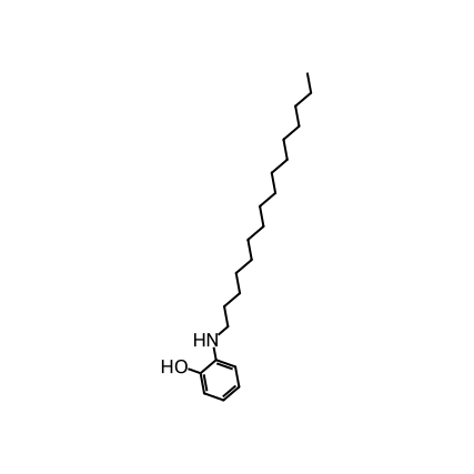 CCCCCCCCCCCCCCCCNc1ccccc1O